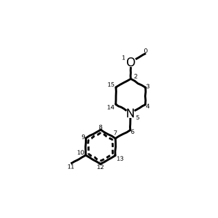 COC1CCN(Cc2ccc(C)cc2)CC1